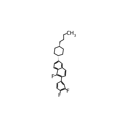 CCCC[C@H]1CC[C@H](c2ccc3c(F)c(-c4ccc(F)c(F)c4)ccc3c2)CC1